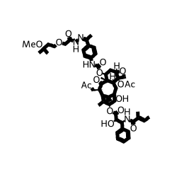 C/C=C(\C)C(=O)N[C@@H](c1ccccc1)[C@@H](O)C(=O)O[C@H]1C[C@@]2(O)C[C@@H]3[C@]4(OC(C)=O)CO[C@@H]4C[C@H](OC(=O)Nc4ccc(/C(C)=N\NC(=O)COCCC(C)(C)OC)cc4)[C@@]3(C)C(=O)[C@H](CC(C)=O)C(=C1C)C2(C)C